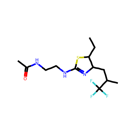 CCC1SC(NCCNC(C)=O)=NC1CC(C)C(F)(F)F